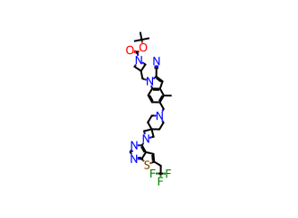 Cc1c(CN2CCC3(CC2)CN(c2ncnc4sc(CC(F)(F)F)cc24)C3)ccc2c1cc(C#N)n2CC1CN(C(=O)OC(C)(C)C)C1